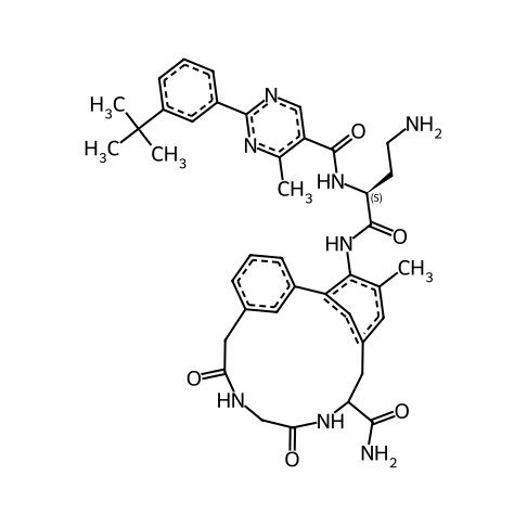 Cc1cc2cc(c1NC(=O)[C@H](CCN)NC(=O)c1cnc(-c3cccc(C(C)(C)C)c3)nc1C)-c1cccc(c1)CC(=O)NCC(=O)NC(C(N)=O)C2